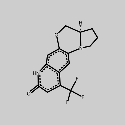 O=c1cc(C(F)(F)F)c2cc3c(cc2[nH]1)OC[C@H]1CCCN31